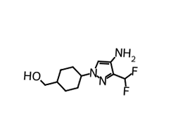 Nc1cn(C2CCC(CO)CC2)nc1C(F)F